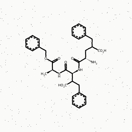 C[C@H](NC(=O)[C@@H](NC(=O)[C@@H](N)CC(Cc1ccccc1)C(=O)O)C(Cc1ccccc1)C(=O)O)C(=O)OCc1ccccc1